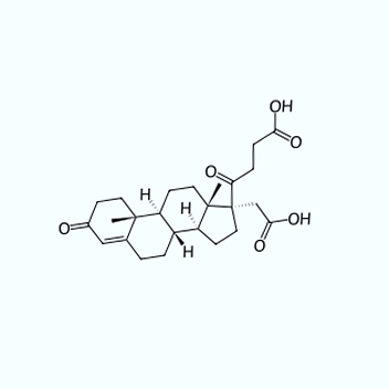 C[C@]12CCC(=O)C=C1CC[C@@H]1[C@@H]2CC[C@@]2(C)[C@H]1CC[C@]2(CC(=O)O)C(=O)CCC(=O)O